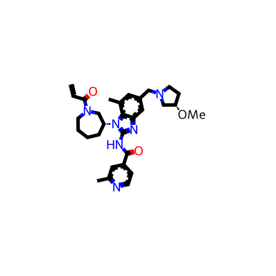 C=CC(=O)N1CCCC[C@@H](n2c(NC(=O)c3ccnc(C)c3)nc3cc(CN4CC[C@H](OC)C4)cc(C)c32)C1